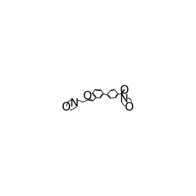 O=C(c1ccc(-c2ccc3oc(CCN4CCOCC4)cc3c2)cc1)N1CCOCC1